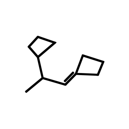 CC(C=C1CCC1)C1CCC1